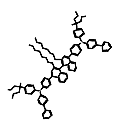 CCCCCCCCc1cc(-c2ccc(N(c3ccc(-c4ccccc4)cc3)c3ccc(C(C)(CCC)CCC)cc3)cc2)c2ccccc2c1-c1c(CCCCCCCC)cc(-c2ccc(N(c3ccc(-c4ccccc4)cc3)c3ccc(C(C)(CCC)CCC)cc3)cc2)c2ccccc12